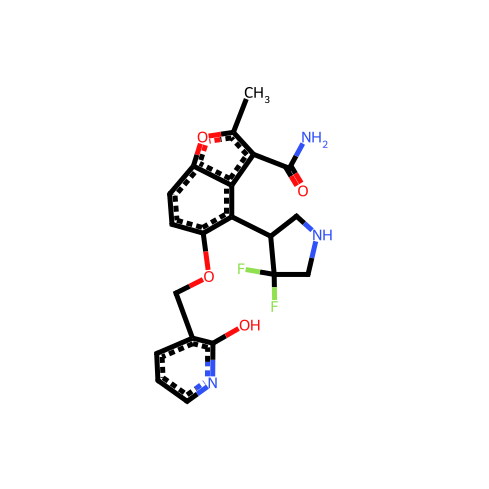 Cc1oc2ccc(OCc3cccnc3O)c(C3CNCC3(F)F)c2c1C(N)=O